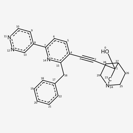 OC1(C#Cc2ccc(-c3ccnnc3)nc2Cc2ccccc2)CN2CCC1CC2